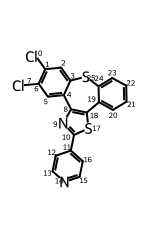 Clc1cc2c(cc1Cl)-c1nc(-c3ccncc3)sc1-c1ccccc1S2